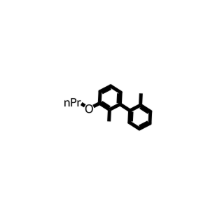 CCCOc1cccc(-c2ccccc2C)c1C